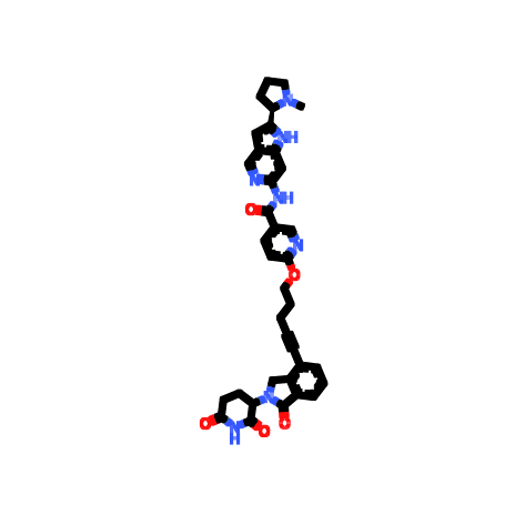 CN1CCC[C@@H]1c1cc2cnc(NC(=O)c3ccc(OCCCC#Cc4cccc5c4CN(C4CCC(=O)NC4=O)C5=O)nc3)cc2[nH]1